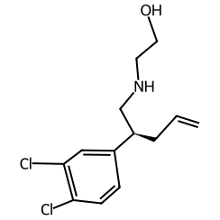 C=CC[C@H](CNCCO)c1ccc(Cl)c(Cl)c1